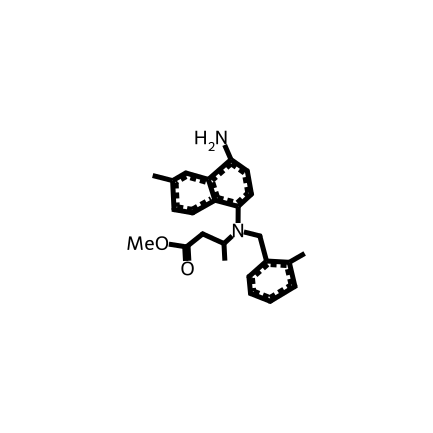 COC(=O)CC(C)N(Cc1ccccc1C)c1ccc(N)c2cc(C)ccc12